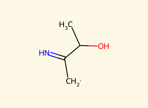 [CH2]C(=N)C(C)O